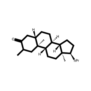 CCC[C@@H]1CC[C@H]2[C@@H]3CC[C@H]4CC(=O)C(C)C[C@]4(C)[C@H]3CC[C@]12C